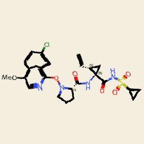 C=C[C@@H]1C[C@]1(NC(=O)[C@@H]1CCCN1Oc1ncc(OC)c2ccc(Cl)cc12)C(=O)NS(=O)(=O)C1CC1